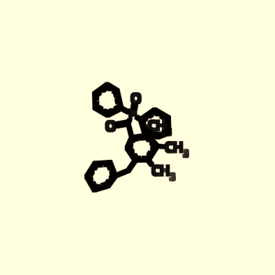 Cc1c(Cc2ccccc2)cc(C(=O)P(=O)(c2ccccc2)c2ccccc2)c(C)c1C